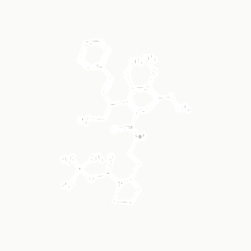 CCC(C=Cc1ccccc1)c1c(C(=O)NCCC2CCCN2C(=O)OC(C)(C)C)cc(OC)c(OC)c1OC